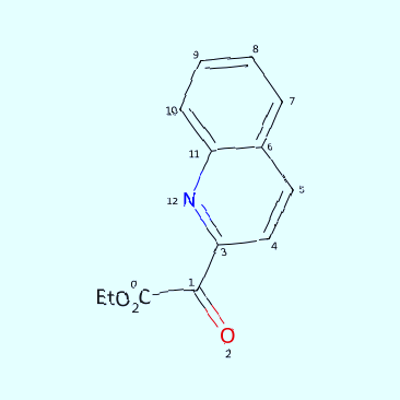 CCOC(=O)C(=O)c1ccc2ccccc2n1